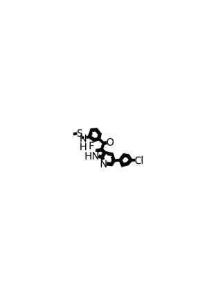 CSNc1cccc(C(=O)c2c[nH]c3ncc(-c4ccc(Cl)cc4)cc23)c1F